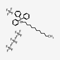 CCCCCCCCCCCC[PH](c1ccccc1)(c1ccccc1)c1ccccc1.F[B-](F)(F)F.F[B-](F)(F)F.F[B-](F)(F)F.F[B-](F)(F)F